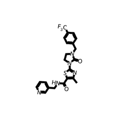 Cc1nc(N2CCN(Cc3ccc(C(F)(F)F)cc3)C2=O)sc1C(=O)NCc1cccnc1